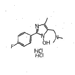 Cc1nc(-c2ccc(F)cc2)n(O)c1CN(C)C.Cl.Cl